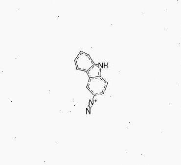 N#[N+]c1ccc2[nH]c3ccccc3c2c1